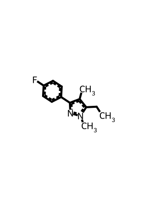 CCc1c(C)c(-c2ccc(F)cc2)nn1C